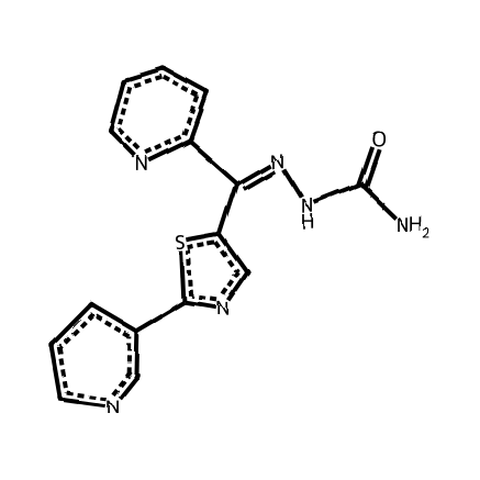 NC(=O)NN=C(c1ccccn1)c1cnc(-c2cccnc2)s1